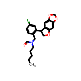 CCCCCN(C=O)Cc1ccc(F)cc1C1COc2cc3c(cc21)OCO3